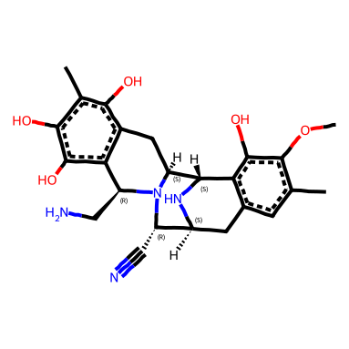 COc1c(C)cc2c(c1O)[C@@H]1N[C@@H](C2)[C@H](C#N)N2[C@@H](CN)c3c(O)c(O)c(C)c(O)c3C[C@@H]12